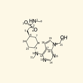 CNS(=O)(=O)C[C@H]1CC[C@H](N(C)c2ncnc3c2ccn3CO)CC1